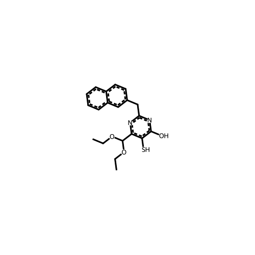 CCOC(OCC)c1nc(Cc2ccc3ccccc3c2)nc(O)c1S